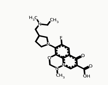 CCN(C)CC1CCN(c2c(F)cc3c(=O)c(C(=O)O)cn4c3c2OCN4C)C1